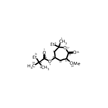 CCC1(C)CC(OC(=O)C(C)(C)CC)CC(OC)C(=O)O1